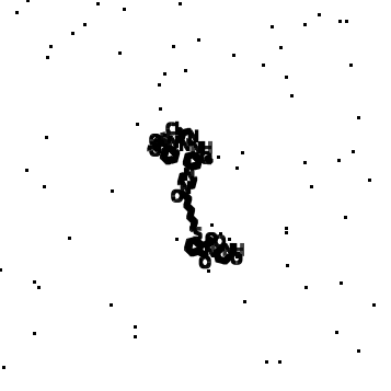 COc1cc(N2CCN(C(=O)CCCCCCSc3cccc4c3C(=O)N(C3CCC(=O)NC3=O)C4=O)CC2)ccc1Nc1ncc(Cl)c(Nc2ccccc2P(=O)(OC)OC)n1